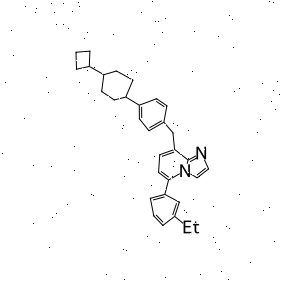 CCc1cccc(-c2ccc(Cc3ccc(C4CCC(C5CCC5)CC4)cc3)c3nccn23)c1